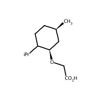 CC(C)C1CC[C@@H](C)C[C@H]1OCC(=O)O